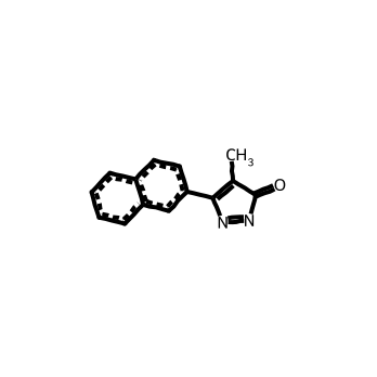 CC1=C(c2ccc3ccccc3c2)N=NC1=O